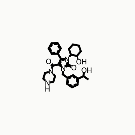 CC(O)c1cccc(Cn2c(C(=O)N3CCNCC3)c(-c3ccccc3)n(C3CCCC[C@H]3O)c2=O)c1